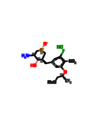 COC[C@@H](Oc1cc(C[C@@H]2C[S@@+]([O-])C[C@H](N)[C@H]2O)cc(F)c1[N+](=O)[O-])C(F)(F)F.Cl